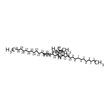 CCCCCCCCCCCCCC/N=C(/CCNCCCCCCCCCCCCCC)NC(C)(C)C